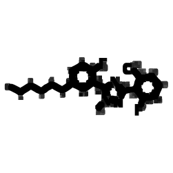 CCCCCCc1ccc(F)c(-c2nc(-c3c(F)cccc3Cl)nn2C)c1